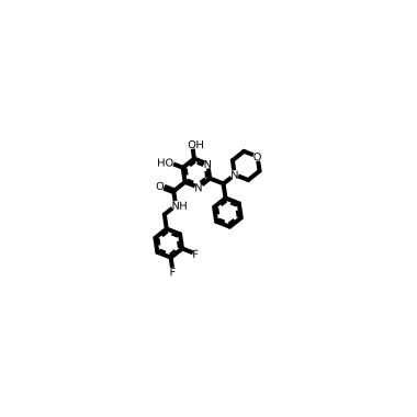 O=C(NCc1ccc(F)c(F)c1)c1nc(C(c2ccccc2)N2CCOCC2)nc(O)c1O